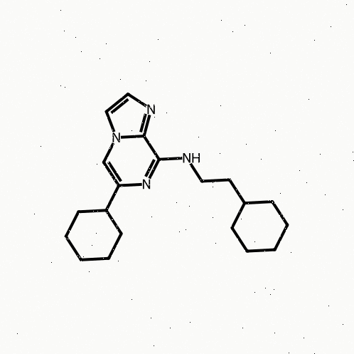 c1cn2cc(C3CCCCC3)nc(NCCC3CCCCC3)c2n1